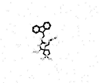 C[N+]1(C)CC[C@@](CCN=[N+]=[N-])([C@H](NC(=O)OCC2c3ccccc3-c3ccccc32)C(=O)O)C1